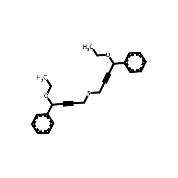 CCOC(C#CCSCC#CC(OCC)c1ccccc1)c1ccccc1